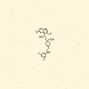 COc1ccc2ncc(CF)c([C@@H](O)CCC3(CO)CCN(CCNc4cc(F)cc(F)c4)CC3)c2c1